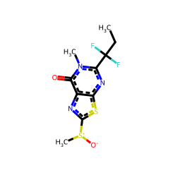 CCC(F)(F)c1nc2sc([S+](C)[O-])nc2c(=O)n1C